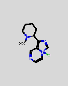 O=C([O-])N1CCCCC1C1=C2C=NC=C[N+]2(Cl)C=N1